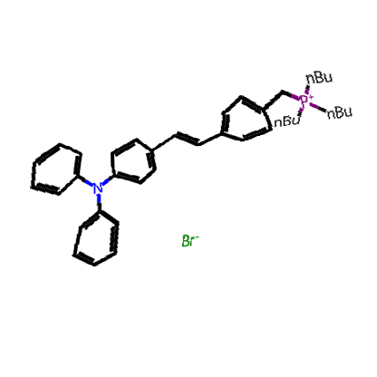 CCCC[P+](CCCC)(CCCC)Cc1ccc(/C=C/c2ccc(N(c3ccccc3)c3ccccc3)cc2)cc1.[Br-]